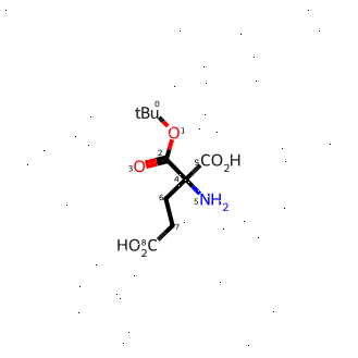 CC(C)(C)OC(=O)C(N)(CCC(=O)O)C(=O)O